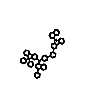 c1ccc(-c2ccc(N(c3ccc(-c4cccc(-c5ccc6c(c5)c5ccccc5n6-c5cccc6ccccc56)c4)cc3)c3ccc4c(c3)C(c3ccccc3)(c3ccccc3)c3ccccc3-4)c3ccccc23)cc1